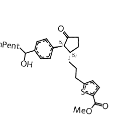 CCCCCC(O)c1ccc([C@H]2C(=O)CC[C@@H]2CCCc2ccc(C(=O)OC)s2)cc1